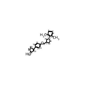 Cc1cccc(C)c1N1CCC(COc2ccc(-c3cc(O)ns3)cc2)C1